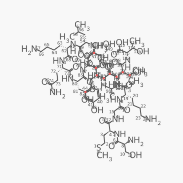 CSCC[C@H](NC(=O)[C@@H](N)CO)C(=O)NCC(=O)N[C@@H](CCCCN)C(=O)N[C@@H](CC(C)C)C(=O)N[C@@H](Cc1ccc(O)cc1)C(=O)N[C@@H](CO)C(=O)N[C@@H](CC(C)C)C(=O)N[C@@H](CCCCN)C(=O)N[C@@H](CCC(N)=O)C(=O)N[C@@H](CC(=O)O)C(=O)N[C@@H](CC(C)C)C(=O)N[C@@H](CC(C)C)C(=O)N[C@@H](CO)C(=O)N[C@H](C(=O)O)[C@@H](C)O